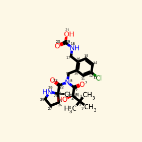 CC(C)(C)[C@@H](O)C(=O)N(Cc1cc(Cl)ccc1CNC(=O)O)C(=O)[C@]1(C)CCCN1